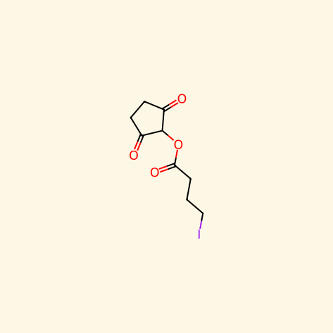 O=C(CCCI)OC1C(=O)CCC1=O